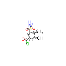 Cc1cc(C(=O)Cl)cc(S(N)(=O)=O)c1C